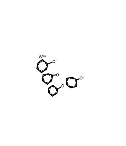 [O-]c1ccccc1.[O-]c1ccccc1.[O-]c1ccccc1.[O-]c1ccccc1.[W+4]